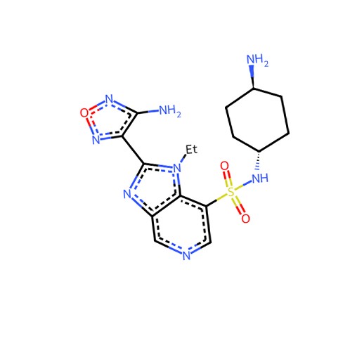 CCn1c(-c2nonc2N)nc2cncc(S(=O)(=O)N[C@H]3CC[C@H](N)CC3)c21